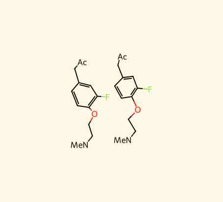 CNCCOc1ccc(CC(C)=O)cc1F.CNCCOc1ccc(CC(C)=O)cc1F